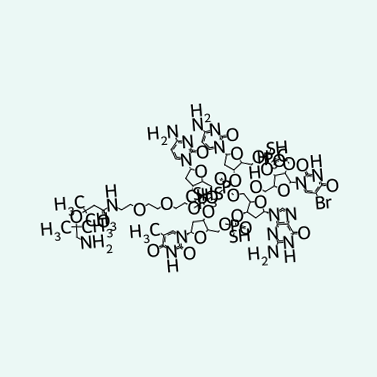 COC1C(OP(=O)(S)OCC2O[C@@H](n3ccc(N)nc3=O)C[C@H]2OP(=O)(S)OCC2O[C@@H](n3cnc4c(=O)[nH]c(N)nc43)C[C@H]2OP(=O)(S)OCC2O[C@@H](n3cc(C)c(=O)[nH]c3=O)C[C@H]2OP(=S)(OCCOCCOCCNC(=O)CC(C)(C)OC(C)(C)CN)OCC2O[C@@H](n3ccc(N)nc3=O)C[C@H]2C)C(CO)OC1n1cc(Br)c(=O)[nH]c1=O